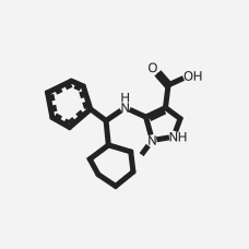 CN1NCC(C(=O)O)=C1NC(c1ccccc1)C1CCCCC1